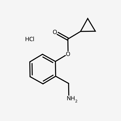 Cl.NCc1ccccc1OC(=O)C1CC1